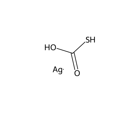 O=C(O)S.[Ag]